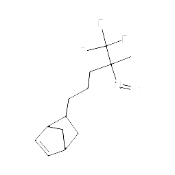 CC(CCCC1CC2C=CC1C2)(N=O)C(F)(F)F